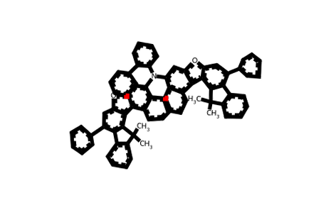 CC1(C)c2ccccc2-c2c(-c3ccccc3)cc3oc4cc(N(c5ccccc5-c5ccccc5)c5cc6oc7cc(-c8ccccc8)c8c(c7c6c6ccccc56)C(C)(C)c5ccccc5-8)c5ccccc5c4c3c21